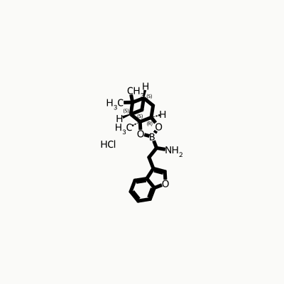 CC1(C)[C@@H]2C[C@H]3OB(C(N)Cc4coc5ccccc45)O[C@@]3(C)[C@H]1C2.Cl